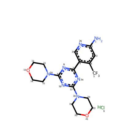 Cl.Nc1cc(C(F)(F)F)c(-c2nc(N3CCOCC3)nc(N3CCOCC3)n2)cn1